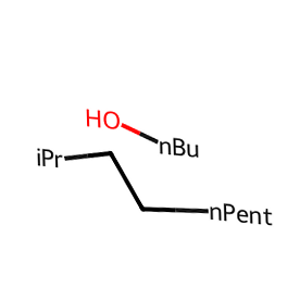 CCCCCCCC(C)C.CCCCO